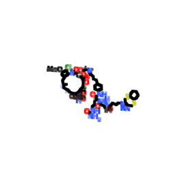 COc1cc2cc(c1Cl)N(C)C(=O)C[C@H](OC(=O)[C@H](C)N(C)C(=O)CCCc1ccc(NC(=O)[C@H](CCCNC(N)=O)NC(=O)C(NC(=O)CCCn3nnc4c3CSC3CCCCCC3SC4)C(C)C)cc1)[C@]1(C)OC1[C@H](C)[C@@H]1C[C@@](O)(NC(=O)O1)[C@H](OC)/C=C/C=C(\C)C2